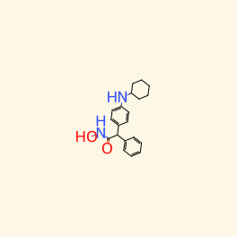 O=C(NO)C(c1ccccc1)c1ccc(NC2CCCCC2)cc1